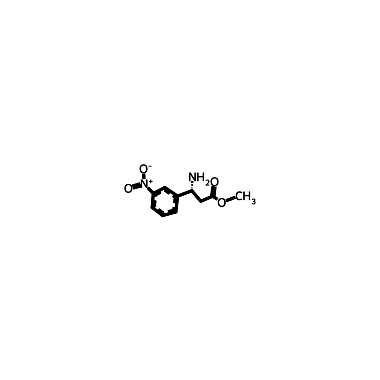 COC(=O)C[C@@H](N)c1cccc([N+](=O)[O-])c1